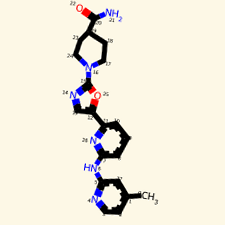 Cc1ccnc(Nc2cccc(-c3cnc(N4CCC(C(N)=O)CC4)o3)n2)c1